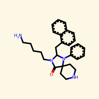 NCCCCCN1C(=O)C2(CCNCC2)N(c2ccccc2)C1Cc1cccc2ccccc12